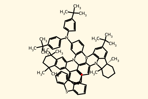 CC(C)(C)c1ccc(N(c2ccc(C(C)(C)C)cc2)c2ccc3c(c2)N(c2cc4c(cc2-c2ccccc2)C(C)(C)CCC4(C)C)c2cc(-c4cccc5sc6ccccc6c45)cc4c2B3c2cc(C(C)(C)C)cc3c2N4C2(C)CCCC[C@]32C)cc1